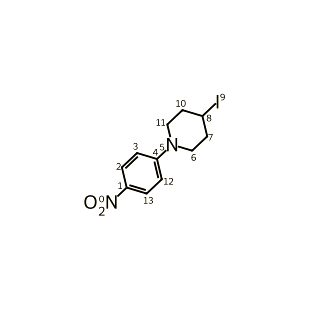 O=[N+]([O-])c1ccc(N2CCC(I)CC2)cc1